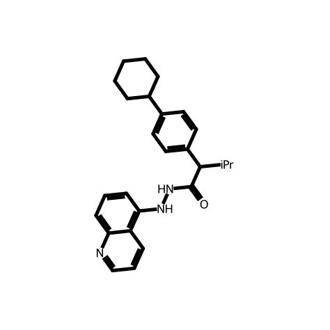 CC(C)C(C(=O)NNc1cccc2ncccc12)c1ccc(C2CCCCC2)cc1